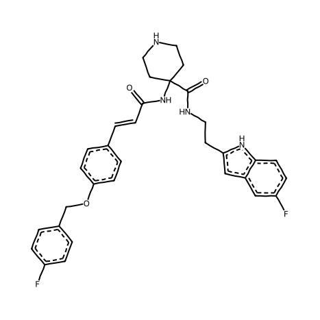 O=C(/C=C/c1ccc(OCc2ccc(F)cc2)cc1)NC1(C(=O)NCCc2cc3cc(F)ccc3[nH]2)CCNCC1